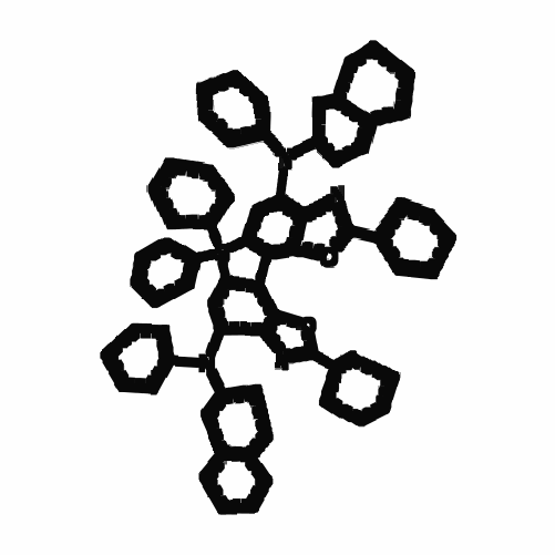 c1ccc(-c2nc3c(N(c4ccccc4)c4ccc5ccccc5c4)cc4c(c3o2)-c2c(cc(N(c3ccccc3)c3ccc5ccccc5c3)c3nc(-c5ccccc5)oc23)[Si]4(c2ccccc2)c2ccccc2)cc1